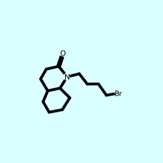 O=C1CCC2CCCCC2N1CCCCBr